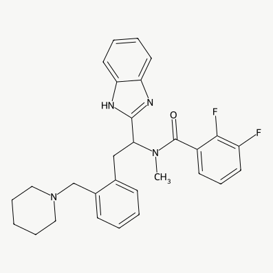 CN(C(=O)c1cccc(F)c1F)C(Cc1ccccc1CN1CCCCC1)c1nc2ccccc2[nH]1